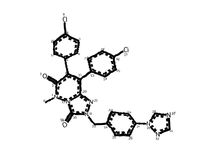 Cn1c(=O)c(-c2ccc(Cl)cc2)c(-c2ccc(Cl)cc2)c2nn(Cc3ccc(-n4cncn4)cc3)c(=O)n21